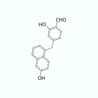 O=Cc1ccc(Cc2cccc3cc(O)ccc23)cc1O